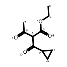 CCOC(=O)C(C(C)=O)C(=O)C1CC1